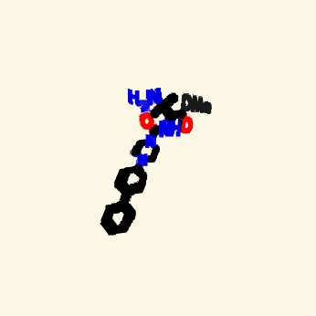 COC(=O)C(NC(=O)N1CCN(c2ccc(-c3ccccc3)cc2)CC1)C(C)(C)N